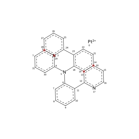 [Pt+2].c1ccc(N(c2ccccc2-c2ccccn2)c2ccccc2-c2ccccn2)cc1